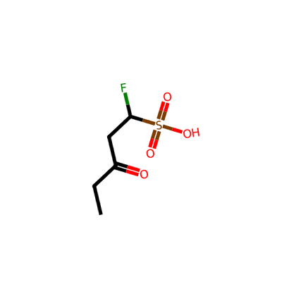 CCC(=O)CC(F)S(=O)(=O)O